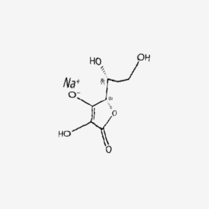 O=C1O[C@@H]([C@H](O)CO)C([O-])=C1O.[Na+]